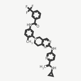 C=C(NC1CC1)c1ccc(Nc2ncc3c(n2)CCN(c2cc(NC(=O)c4cccc(C(F)(F)F)c4)ccc2C)C3)cn1